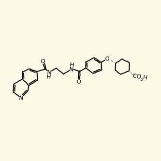 O=C(NCCNC(=O)c1ccc2ccncc2c1)c1ccc(O[C@H]2CC[C@@H](C(=O)O)CC2)cc1